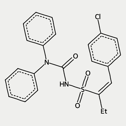 CCC(=Cc1ccc(Cl)cc1)S(=O)(=O)NC(=O)N(c1ccccc1)c1ccccc1